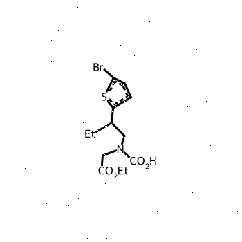 CCOC(=O)CN(CC(CC)c1ccc(Br)s1)C(=O)O